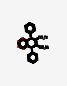 CCOC(=O)/C(=C(\C(=O)OCC)P(c1ccccc1)c1ccccc1)P(c1ccccc1)c1ccccc1